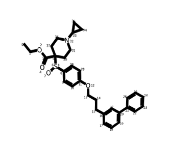 CCOC(=O)C1([S+]([O-])c2ccc(OCCCc3cccc(-c4ccccc4)c3)cc2)CCN(C2CC2)CC1